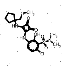 COCC1(Nc2c(Nc3ccc(Cl)c(S(=O)(=O)N(C)C)c3O)c(=O)c2=O)CCCC1